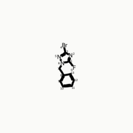 Fc1nc(Br)nn1Cc1ccccc1